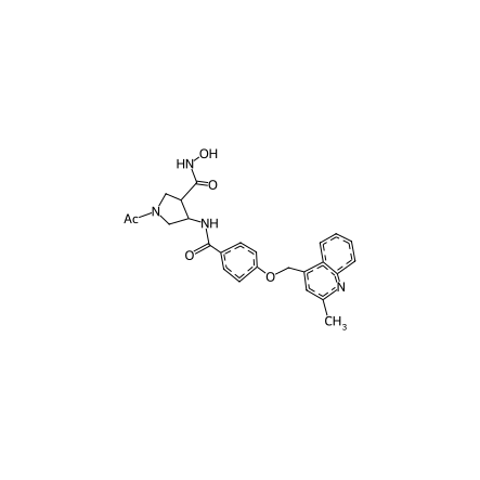 CC(=O)N1CC(NC(=O)c2ccc(OCc3cc(C)nc4ccccc34)cc2)C(C(=O)NO)C1